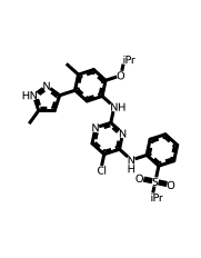 Cc1cc(-c2cc(Nc3ncc(Cl)c(Nc4ccccc4S(=O)(=O)C(C)C)n3)c(OC(C)C)cc2C)n[nH]1